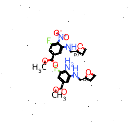 COC(=O)c1cc(F)c(N)c(NC[C@@H]2CCO2)c1.COC(=O)c1cc(F)c([N+](=O)[O-])c(NC[C@@H]2CCO2)c1